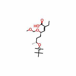 CCC(=C[C@@H](CC[C@@H](C)O[Si](C)(C)C(C)(C)C)OCOC)C(=O)O